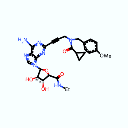 CCNC(=O)C1OC(n2cnc3c(N)nc(C#CCN(Cc4ccc(OC)cc4)C(=O)C4CC4)nc32)[C@H](O)[C@@H]1O